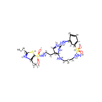 Cc1nc(C)c(S(=O)(=O)NCCc2cnc3nc2NCCCNS(=O)(=O)c2cccc(c2)N3)s1